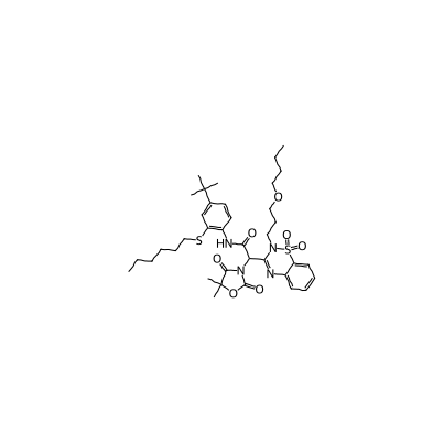 CCCCCCSc1cc(C(C)(C)C)ccc1NC(=O)C(C1=Nc2ccccc2S(=O)(=O)N1CCCOCCCC)N1C(=O)OC(C)(C)C1=O